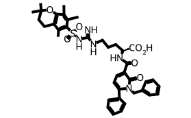 Cc1c(C)c(S(=O)(=O)NC(=N)NCCC[C@H](NC(=O)c2ccc(-c3ccccc3)n(Cc3ccccc3)c2=O)C(=O)O)c(C)c2c1OC(C)(C)CC2